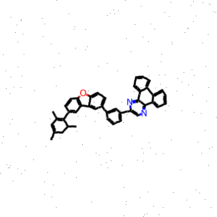 CC1=CC(C)=C(c2ccc3oc4ccc(-c5cccc(-c6cnc7c8ccccc8c8ccccc8c7n6)c5)cc4c3c2)C(C)C1